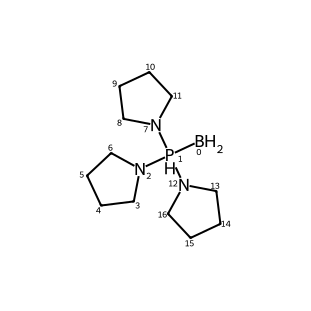 B[PH](N1CCCC1)(N1CCCC1)N1CCCC1